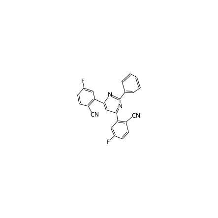 N#Cc1ccc(F)cc1-c1cc(-c2cc(F)ccc2C#N)nc(-c2ccccc2)n1